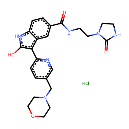 Cl.O=C(NCCN1CCNC1=O)c1ccc2[nH]c(O)c(-c3ccc(CN4CCOCC4)cn3)c2c1